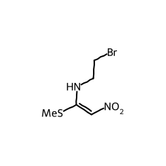 CSC(=C[N+](=O)[O-])NCCBr